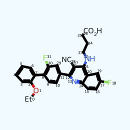 CCOc1ccccc1-c1ccc(-c2nc3ccc(F)cc3c(NCCCC(=O)O)c2C#N)cc1F